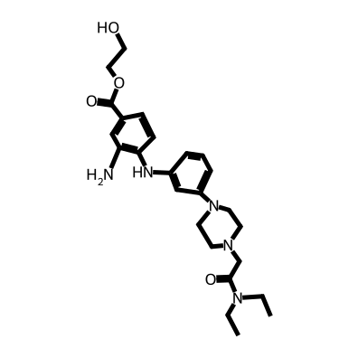 CCN(CC)C(=O)CN1CCN(c2cccc(Nc3ccc(C(=O)OCCO)cc3N)c2)CC1